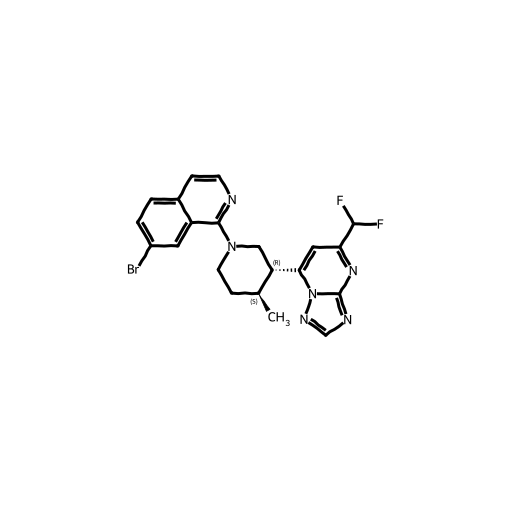 C[C@H]1CCN(c2nccc3ccc(Br)cc23)C[C@@H]1c1cc(C(F)F)nc2ncnn12